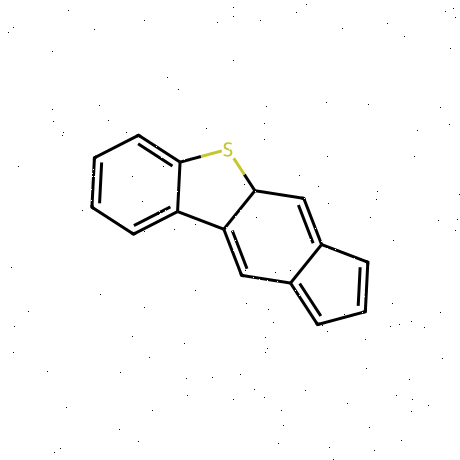 C1=CC2=CC3Sc4ccccc4C3=CC2=C1